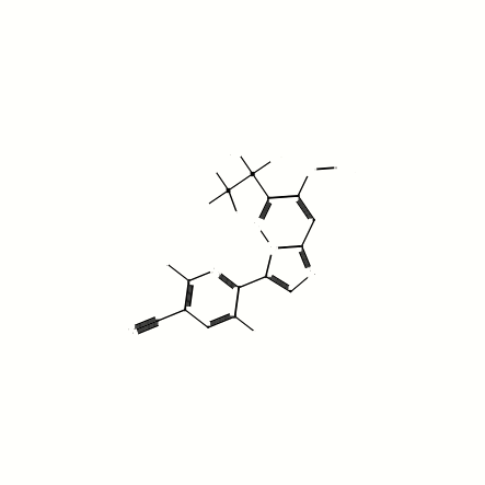 COc1cc2ncc(-c3nc(Cl)c(C#N)cc3F)n2nc1C(C)(O)C(F)(F)F